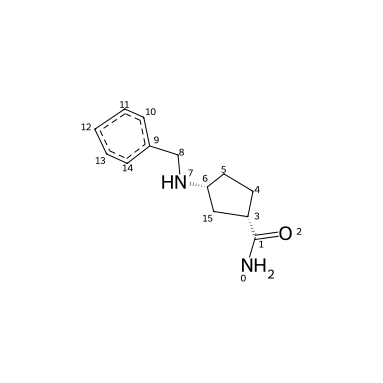 NC(=O)[C@H]1CC[C@@H](NCc2ccccc2)C1